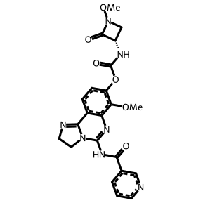 COc1c(OC(=O)N[C@H]2CN(OC)C2=O)ccc2c1N=C(NC(=O)c1cccnc1)N1CCN=C21